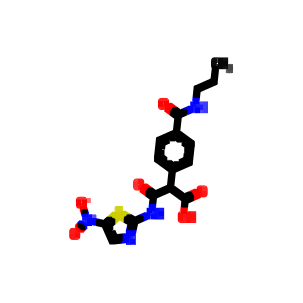 CCCNC(=O)c1ccc(C(C(=O)O)C(=O)Nc2ncc([N+](=O)[O-])s2)cc1